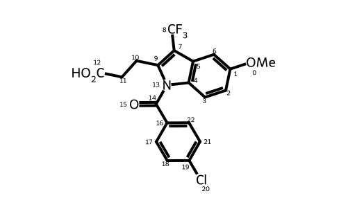 COc1ccc2c(c1)c(C(F)(F)F)c(CCC(=O)O)n2C(=O)c1ccc(Cl)cc1